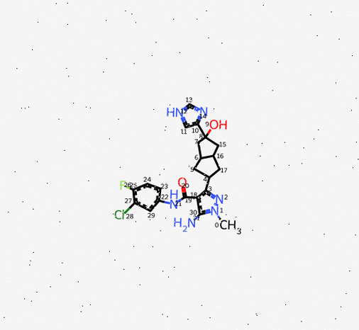 Cn1nc(C2CC3CC(O)(c4c[nH]cn4)CC3C2)c(C(=O)Nc2ccc(F)c(Cl)c2)c1N